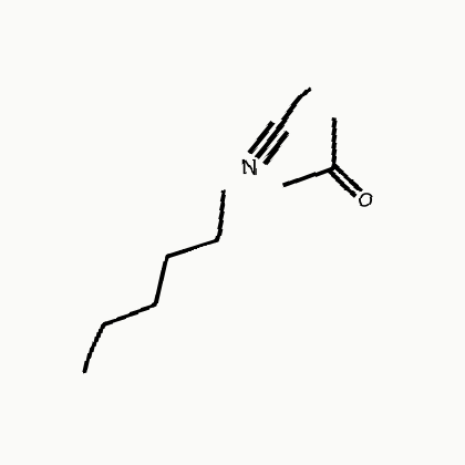 CC#N.CC(C)=O.CCCCCC